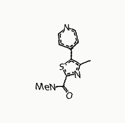 CNC(=O)c1nc(C)c(-c2ccncc2)s1